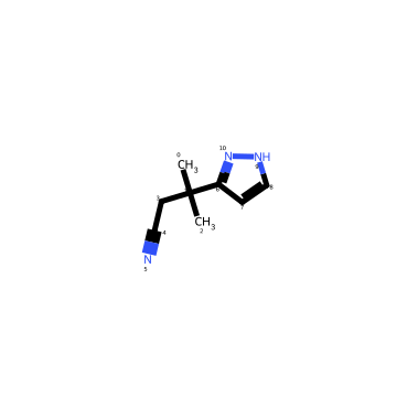 CC(C)(CC#N)c1cc[nH]n1